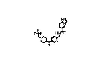 O=C(NCc1ccc([S+]([O-])C2CCN(CC(F)(F)F)CC2)cn1)c1ccc2nccn2c1